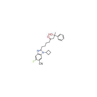 CC(O)(CC(=O)CCCCc1nc2cc(F)c(C#N)cc2n1C1CCC1)c1ccccc1